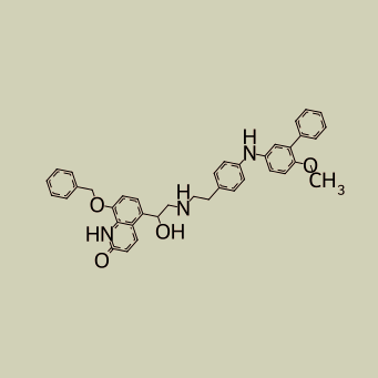 COc1ccc(Nc2ccc(CCNCC(O)c3ccc(OCc4ccccc4)c4[nH]c(=O)ccc34)cc2)cc1-c1ccccc1